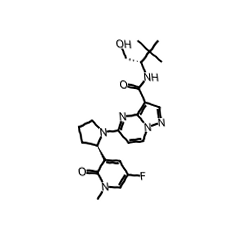 Cn1cc(F)cc([C@H]2CCCN2c2ccn3ncc(C(=O)N[C@H](CO)C(C)(C)C)c3n2)c1=O